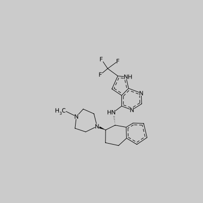 CN1CCN([C@@H]2CCc3ccccc3[C@H]2Nc2ncnc3[nH]c(C(F)(F)F)cc23)CC1